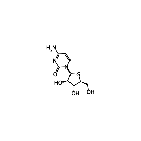 Nc1ccn([C@H]2S[C@@H](CO)[C@H](O)[C@H]2O)c(=O)n1